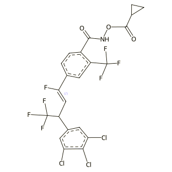 O=C(NOC(=O)C1CC1)c1ccc(/C(F)=C/C(c2cc(Cl)c(Cl)c(Cl)c2)C(F)(F)F)cc1C(F)(F)F